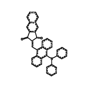 O=C1C(=Cc2c3ccccc3c(N(c3ccccc3)c3ccccc3)c3ccccc23)C(=O)c2cc3ccccc3cc21